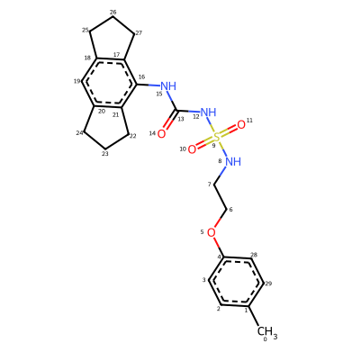 Cc1ccc(OCCNS(=O)(=O)NC(=O)Nc2c3c(cc4c2CCC4)CCC3)cc1